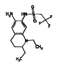 CCC1CCc2cc(N)c(NS(=O)(=O)CC(F)(F)F)cc2N1CC